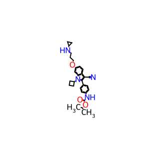 CC(C)OC(=O)Nc1ccc(-c2c(C#N)c3ccc(OCCCNC4CC4)cc3n2C2CCC2)cc1